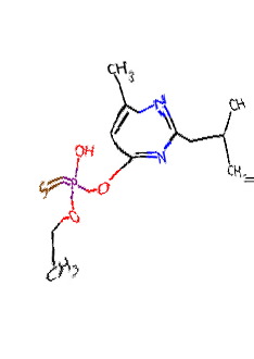 CCOP(O)(=S)Oc1cc(C)nc(C(C)C)n1